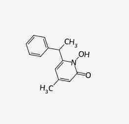 Cc1cc(C(C)c2ccccc2)n(O)c(=O)c1